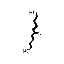 O=C(C=CCCO)C=CCCO